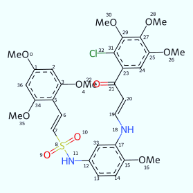 COc1cc(OC)c(C=CS(=O)(=O)Nc2ccc(OC)c(NC=CC(=O)c3cc(OC)c(OC)c(OC)c3Cl)c2)c(OC)c1